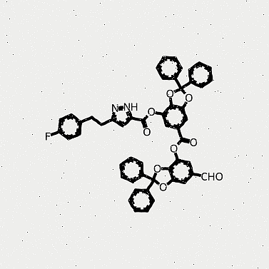 O=Cc1cc(OC(=O)c2cc(OC(=O)c3cc(CCc4ccc(F)cc4)n[nH]3)c3c(c2)OC(c2ccccc2)(c2ccccc2)O3)c2c(c1)OC(c1ccccc1)(c1ccccc1)O2